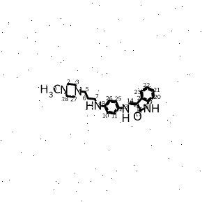 CN1CCN(CCCNc2ccc(N/C=C3\C(=O)Nc4ccccc43)cc2)CC1